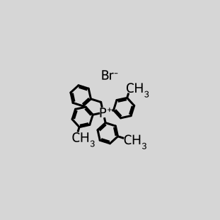 Cc1cccc([P+](Cc2ccccc2)(c2cccc(C)c2)c2cccc(C)c2)c1.[Br-]